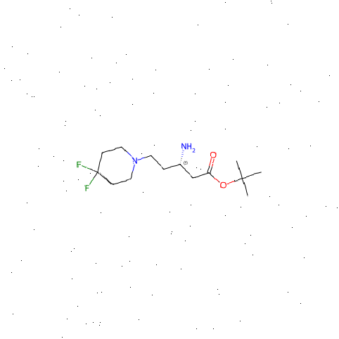 CC(C)(C)OC(=O)C[C@@H](N)CCN1CCC(F)(F)CC1